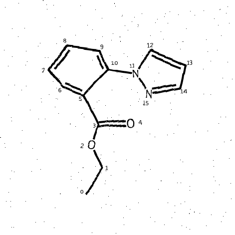 CCOC(=O)c1ccccc1-n1cccn1